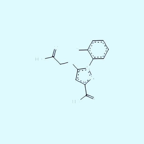 CC(=O)COc1cc(C(=O)O)nn1-c1ccccc1F